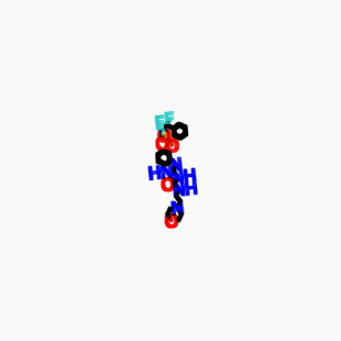 O=C(NCCN1CCOCC1)Nc1nc2cc(OS(=O)(=O)c3ccccc3C(F)(F)F)ccc2[nH]1